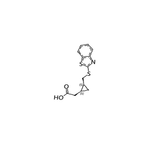 O=C(O)C[C@@H]1C[C@@H]1CSc1nc2ccccc2s1